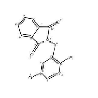 Cc1ncc(Cl)cc1CN1C(=O)c2ccccc2C1=O